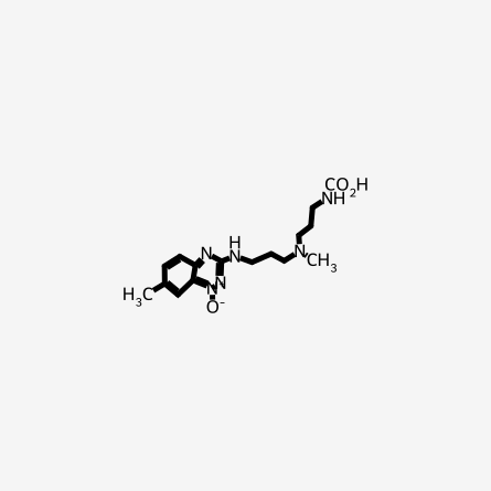 Cc1ccc2nc(NCCCN(C)CCCNC(=O)O)n[n+]([O-])c2c1